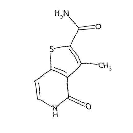 Cc1c(C(N)=O)sc2cc[nH]c(=O)c12